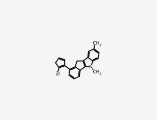 Cc1ccc2c(c1)c1c(n2C)-c2cccc(C3=[C]([Zr])CC=C3)c2C1